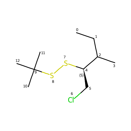 CCC(C)[C@@H](CCl)SSC(C)(C)C